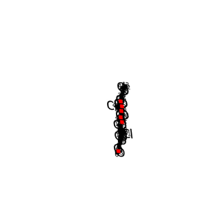 C=CC(=O)OCCCCOC(=O)Oc1ccc(C(=O)Oc2ccc(OC(=O)c3ccc(OC(=O)OCCCCOC(=O)C=C)c(Cl)c3)cc2)cc1Cl